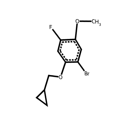 COc1cc(Br)c(OCC2CC2)cc1F